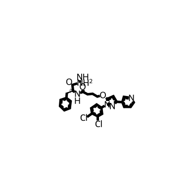 NNC(=O)[C@H](Cc1ccccc1)NC(=O)CCCOc1cc(-c2cccnc2)nn1-c1ccc(Cl)c(Cl)c1